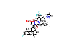 Cc1cc(F)cc(C)c1-c1cc([C@H](CC(=O)O)NC(=O)[C@H](CC(C)C)n2cc(CCn3cccn3)c(C(F)(F)F)cc2=O)cc2c1CCC2